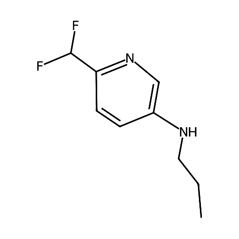 CCCNc1ccc(C(F)F)nc1